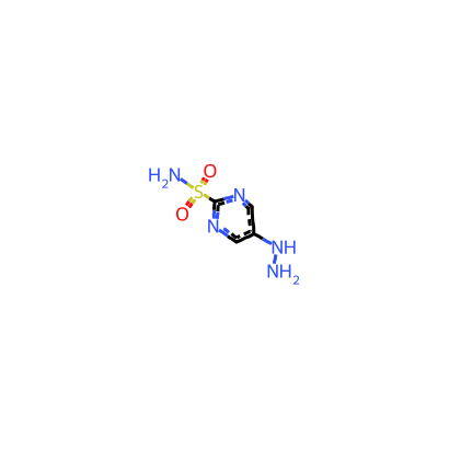 NNc1cnc(S(N)(=O)=O)nc1